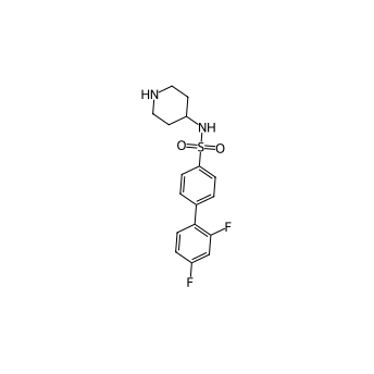 O=S(=O)(NC1CCNCC1)c1ccc(-c2ccc(F)cc2F)cc1